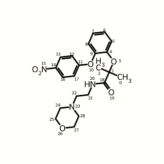 CC(C)(Oc1ccccc1Oc1ccc([N+](=O)[O-])cc1)C(=O)NCCN1CCOCC1